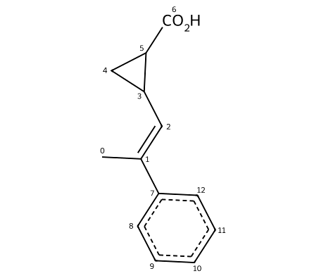 C/C(=C\C1CC1C(=O)O)c1ccccc1